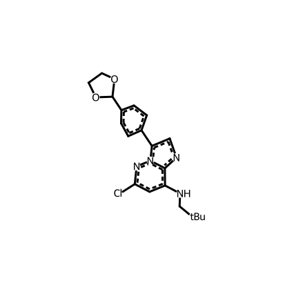 CC(C)(C)CNc1cc(Cl)nn2c(-c3ccc(C4OCCO4)cc3)cnc12